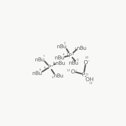 CCCC[P+](CCCC)(CCCC)CCCC.CCCC[P+](CCCC)(CCCC)CCCC.[O-]P([O-])O